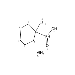 CC1([PH](=O)O)CCCCC1.[AlH3]